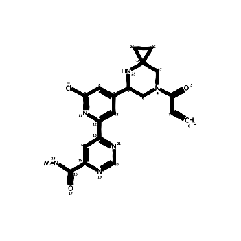 C=CC(=O)N1CC(c2cc(Cl)nc(-c3cc(C(=O)NC)ncn3)c2)NC2(CC2)C1